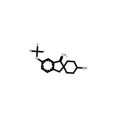 C=C1c2cc(OC(F)(F)F)ccc2CC12CCC(O)CC2